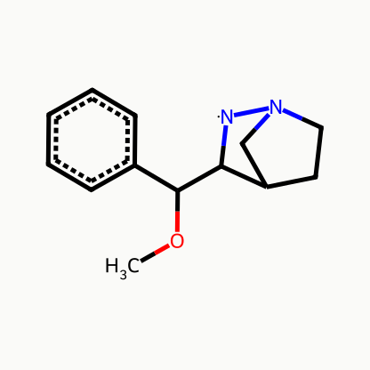 COC(c1ccccc1)C1[N]N2CCC1C2